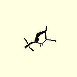 CC1C=C(C(C)(C)C)NC1I